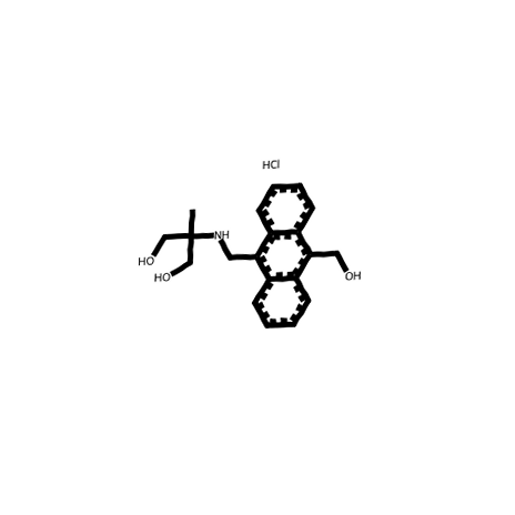 CC(CO)(CO)NCc1c2ccccc2c(CO)c2ccccc12.Cl